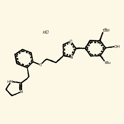 CC(C)(C)c1cc(-c2nc(CCOc3ccccc3CC3=NCCN3)co2)cc(C(C)(C)C)c1O.Cl